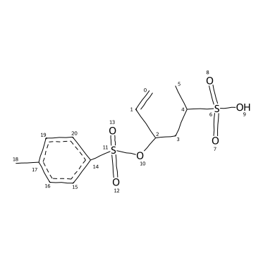 C=CC(CC(C)S(=O)(=O)O)OS(=O)(=O)c1ccc(C)cc1